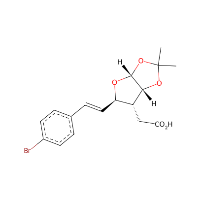 CC1(C)O[C@H]2O[C@H](/C=C/c3ccc(Br)cc3)[C@@H](CC(=O)O)[C@H]2O1